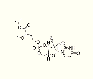 C#C[C@@]1(O)[C@@H]2OP(=O)(OCC[C@@H](OC)C(=O)OC(C)C)OC[C@H]2O[C@H]1n1ccc(=O)[nH]c1=O